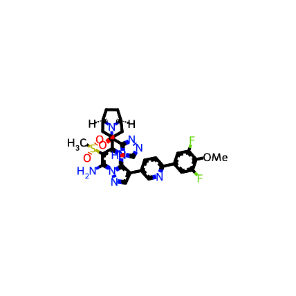 COc1c(F)cc(-c2ccc(-c3cnn4c(N)c(S(C)(=O)=O)c(C5C[C@H]6CC[C@@H](C5)N6C(=O)c5nnc[nH]5)nc34)cn2)cc1F